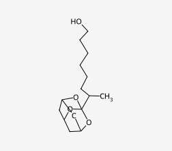 CC(CCCCCCO)C12OC3CC(CC(C3)O1)O2